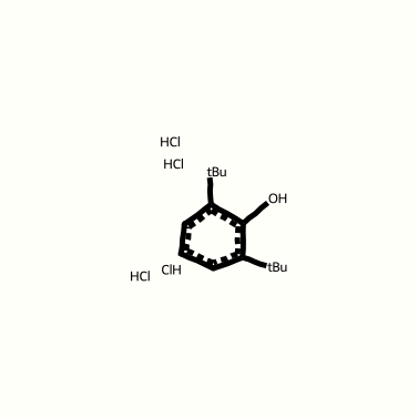 CC(C)(C)c1cccc(C(C)(C)C)c1O.Cl.Cl.Cl.Cl